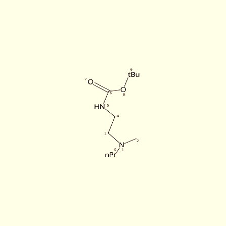 CCCN(C)CCNC(=O)OC(C)(C)C